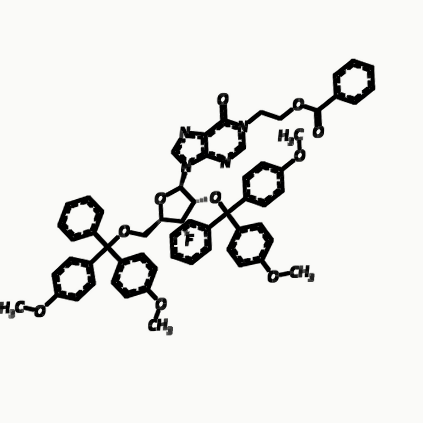 COc1ccc(C(OC[C@H]2O[C@@H](n3cnc4c(=O)n(CCOC(=O)c5ccccc5)cnc43)[C@H](OC(c3ccccc3)(c3ccc(OC)cc3)c3ccc(OC)cc3)[C@@H]2F)(c2ccccc2)c2ccc(OC)cc2)cc1